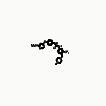 CNc1cc(Oc2ccc(NC(=O)Nc3ccc(CN4CCN(C)CC4)c(C(F)(F)F)c3)cc2)ncn1